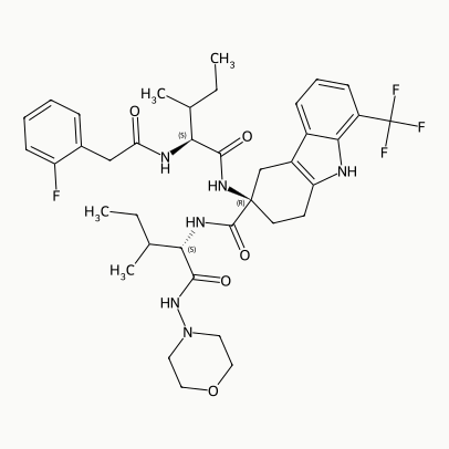 CCC(C)[C@H](NC(=O)Cc1ccccc1F)C(=O)N[C@]1(C(=O)N[C@H](C(=O)NN2CCOCC2)C(C)CC)CCc2[nH]c3c(C(F)(F)F)cccc3c2C1